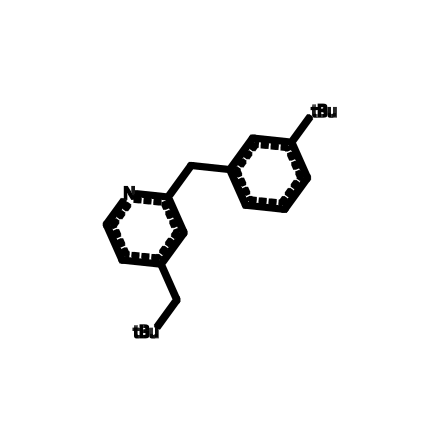 CC(C)(C)Cc1ccnc(Cc2cccc(C(C)(C)C)c2)c1